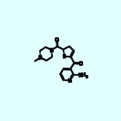 CN1CCN(C(=O)C2CC=C(C(=O)c3cccnc3N)S2)CC1